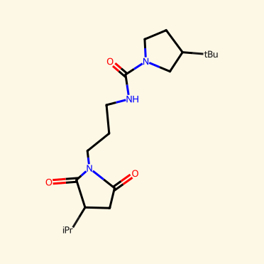 CC(C)C1CC(=O)N(CCCNC(=O)N2CCC(C(C)(C)C)C2)C1=O